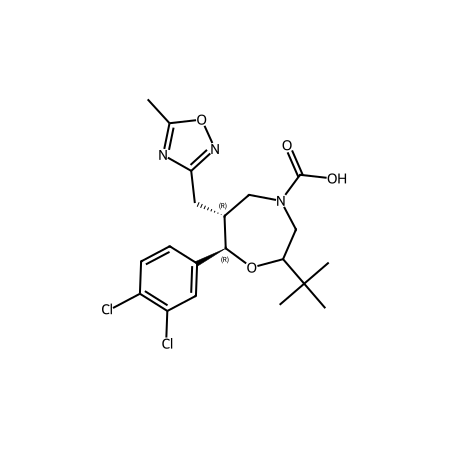 Cc1nc(C[C@@H]2CN(C(=O)O)CC(C(C)(C)C)O[C@H]2c2ccc(Cl)c(Cl)c2)no1